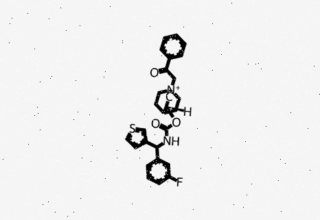 O=C(NC(c1ccsc1)c1cccc(F)c1)O[C@H]1C[N+]2(CC(=O)c3ccccc3)CCC1CC2